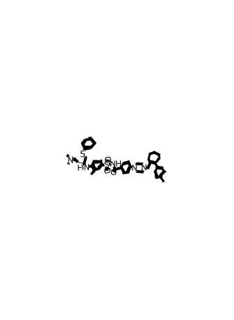 Cc1ccc(C2=C(CN3CCN(c4ccc(C(=O)NS(=O)(=O)c5ccc(N[C@H](CCN(C)C)CSC6=CCCC=C6)c(C)c5)cc4)CC3)CCCCC2)cc1